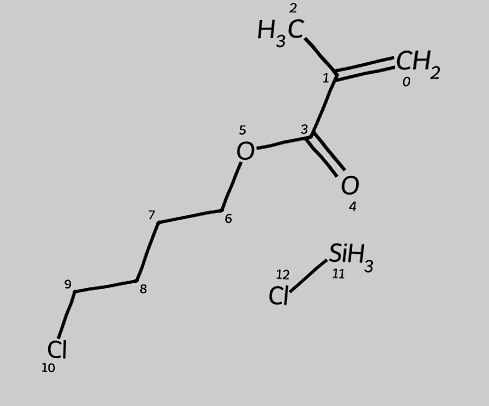 C=C(C)C(=O)OCCCCCl.[SiH3]Cl